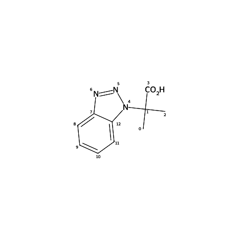 CC(C)(C(=O)O)n1nnc2ccccc21